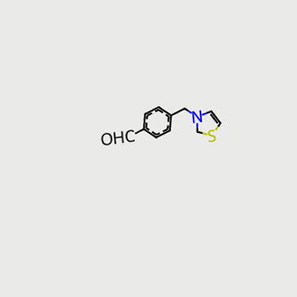 O=Cc1ccc(CN2C=CSC2)cc1